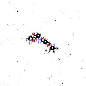 Cc1cc(NC(=O)Cc2ccc(CC(=O)Nc3cccc4c3C(=O)N(C3CCC(=O)NC3=O)C4=O)cc2)cc(C(C)C)c1I